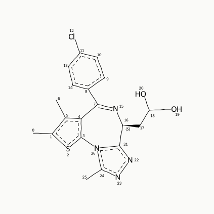 Cc1sc2c(c1C)C(c1ccc(Cl)cc1)=N[C@@H](CC(O)O)c1nnc(C)n1-2